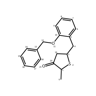 CC1SC(Cc2ccccc2OCc2ccccc2)CC1=O